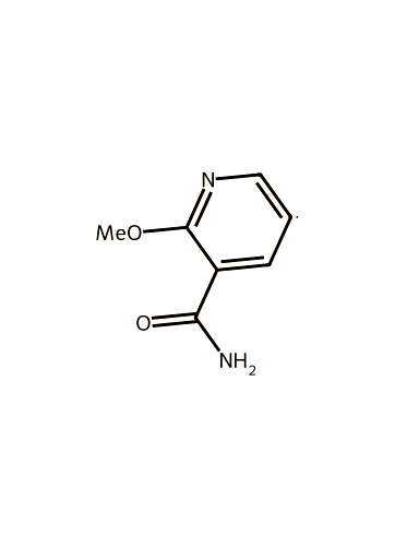 COc1nc[c]cc1C(N)=O